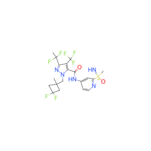 CC1(Cn2nc(C(C)(F)F)c(C(F)(F)F)c2C(=O)Nc2ccnc(S(C)(=N)=O)c2)CC(F)(F)C1